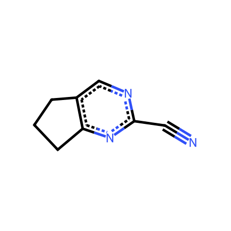 N#Cc1ncc2c(n1)CCC2